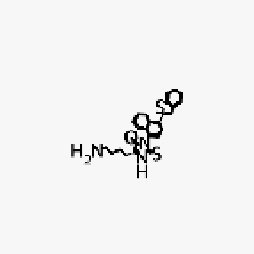 NCCCC[C@@H]1NC(=S)N(c2ccc(-c3cc4ccccc4s3)c3ccccc23)C1=O